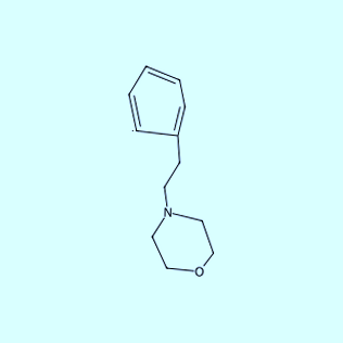 [c]1ccccc1CCN1CCOCC1